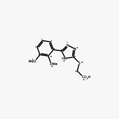 COc1cccc(-c2nnc(SCC(=O)O)[nH]2)c1OC